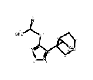 CCC(C=O)Sc1nsnc1C1CN2CCC1CC2